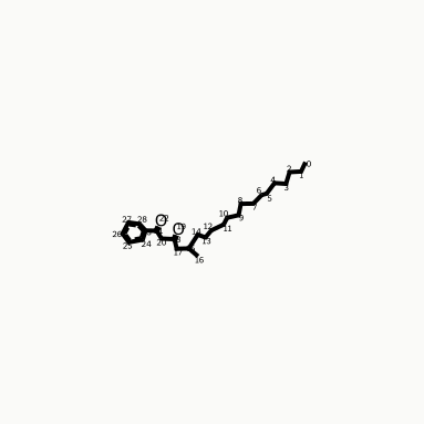 CCCCCCCCCCCCCCCC(C)CC(=O)CC(=O)c1ccccc1